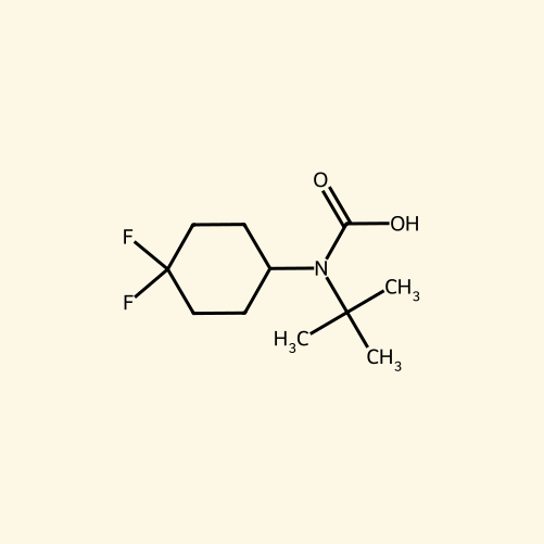 CC(C)(C)N(C(=O)O)C1CCC(F)(F)CC1